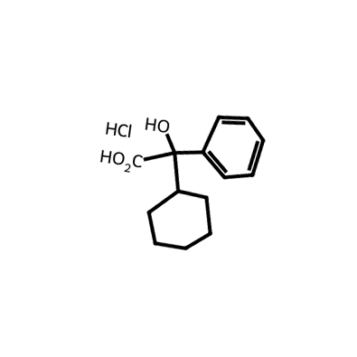 Cl.O=C(O)C(O)(c1ccccc1)C1CCCCC1